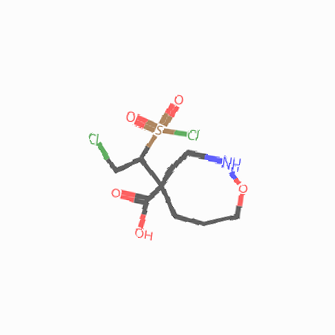 O=C(O)C1(C(CCl)S(=O)(=O)Cl)CCCONC1